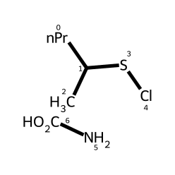 CCCC(C)SCl.NC(=O)O